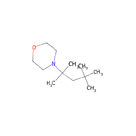 CC(C)(C)CC(C)(C)N1CCOCC1